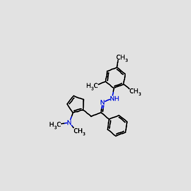 Cc1cc(C)c(NN=C(CC2=C(N(C)C)C=CC2)c2ccccc2)c(C)c1